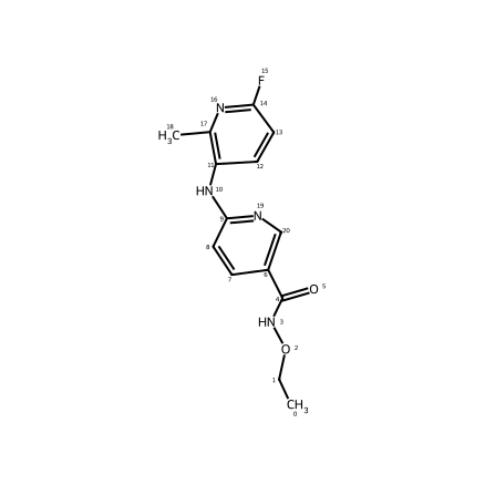 CCONC(=O)c1ccc(Nc2ccc(F)nc2C)nc1